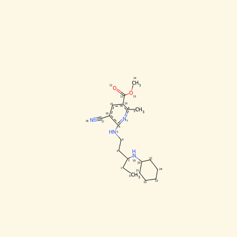 CCC(CCNc1nc(C)c(C(=O)OC)cc1C#N)NC1CCCCC1